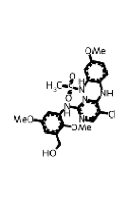 COc1ccc(Nc2nc(Nc3cc(OC)cc(CO)c3OC)ncc2Cl)c(NS(C)(=O)=O)c1